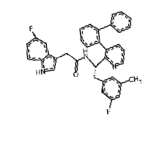 Cc1cc(F)cc(C[C@H](NC(=O)Cc2c[nH]c3ccc(F)cc23)c2ncccc2-c2ccccc2-c2ccccc2)c1